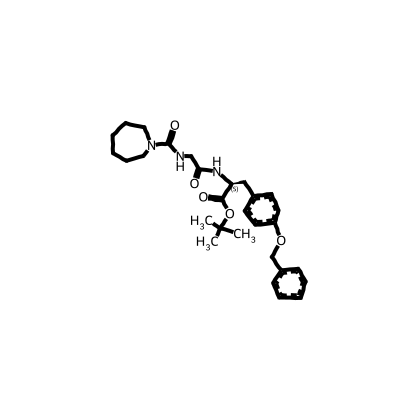 CC(C)(C)OC(=O)[C@H](Cc1ccc(OCc2ccccc2)cc1)NC(=O)CNC(=O)N1CCCCCC1